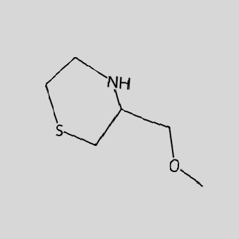 COCC1CSCCN1